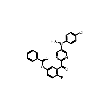 CN(c1ccc(Cl)cc1)c1cnc(C(=O)c2cc(OC(=O)c3ccccc3)ccc2F)nc1